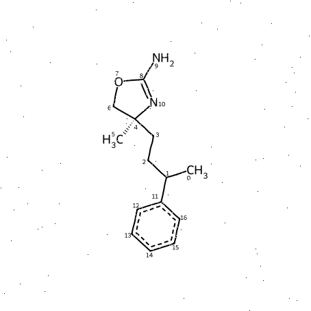 CC(CC[C@@]1(C)COC(N)=N1)c1ccccc1